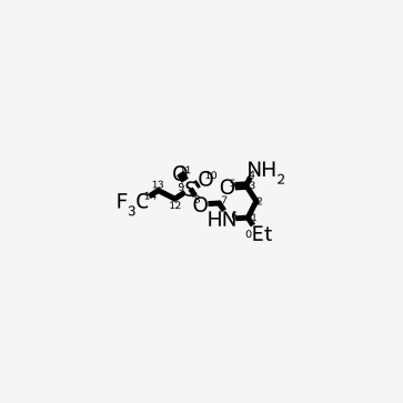 CCC(CC(N)=O)NCOS(=O)(=O)CCC(F)(F)F